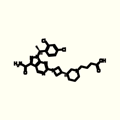 C[C@H](c1ccc(Cl)cc1Cl)n1nc(C(N)=O)c2cnc(N3CC([C@H]4CCCN(CCCC(=O)O)C4)C3)nc21